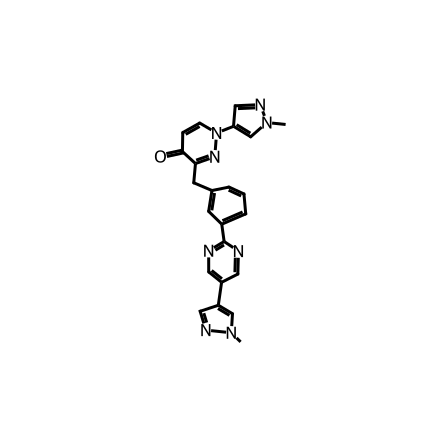 Cn1cc(-c2cnc(-c3cccc(Cc4nn(-c5cnn(C)c5)ccc4=O)c3)nc2)cn1